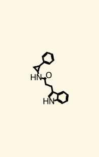 O=C(CCc1c[nH]c2ccccc12)NC1CC1c1ccccc1